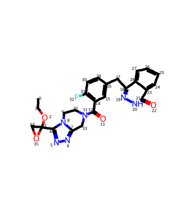 CCOC1(c2nnc3n2CCN(C(=O)c2cc(Cc4n[nH]c(=O)c5ccccc45)ccc2F)C3)CO1